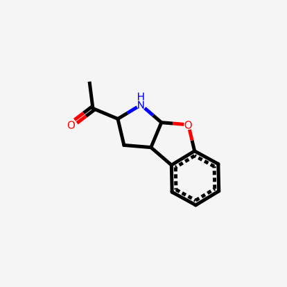 CC(=O)C1CC2c3ccccc3OC2N1